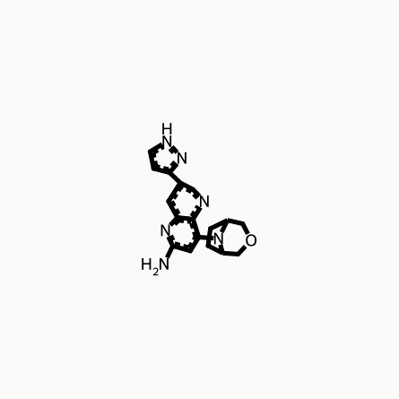 Nc1cc(N2C3CCC2COC3)c2ncc(-c3cc[nH]n3)cc2n1